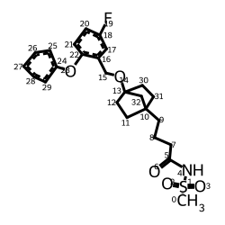 CS(=O)(=O)NC(=O)CCCC12CCC(OCc3cc(F)ccc3Oc3ccccc3)(CC1)C2